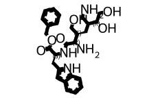 NCC(C[C@H](CO)[C@@H](N)C(=O)N[C@@H](Cc1cc2ccccc2[nH]1)C(=O)OCc1ccccc1)[C@@H](O)CO